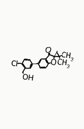 CC1(C)CC12Oc1ccc(-c3ccc(Cl)c(CO)c3)cc1C2=O